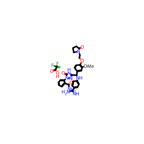 COc1cc(C(Nc2ccc(C(=N)N)cc2)c2nn(-c3ccccc3C(N)=O)c(=O)[nH]2)ccc1OCCN1CCCC1=O.O=C(O)C(F)(F)F